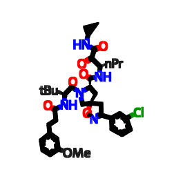 CCC[C@H](NC(=O)[C@@H]1C[C@]2(CC(c3cccc(Cl)c3)=NO2)CN1C(=O)[C@@H](NC(=O)CCc1cccc(OC)c1)C(C)(C)C)C(=O)C(=O)NC1CC1